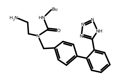 CCC(C)NC(=O)N(CCN)Cc1ccc(-c2ccccc2-c2nnn[nH]2)cc1